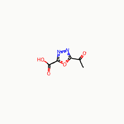 CC(=O)c1nnc(C(=O)O)o1